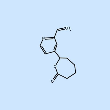 C=Cc1cc(C2CCCCC(=O)O2)ccn1